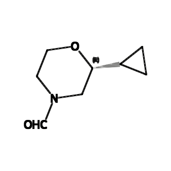 O=CN1CCO[C@H](C2CC2)C1